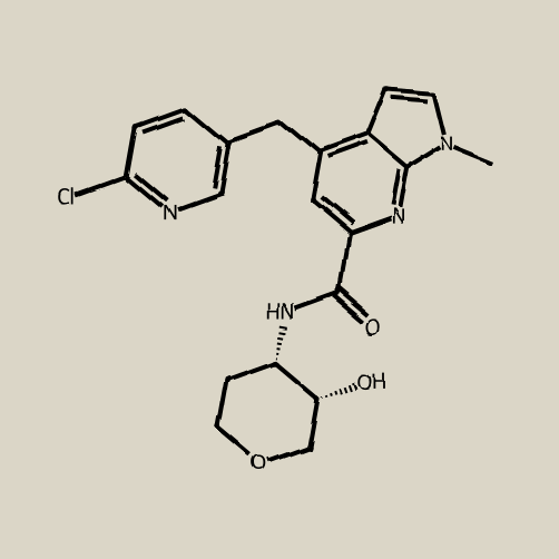 Cn1ccc2c(Cc3ccc(Cl)nc3)cc(C(=O)N[C@H]3CCOC[C@H]3O)nc21